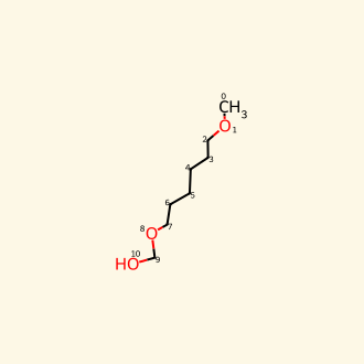 COCCCCCCOCO